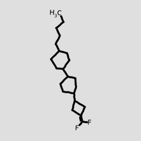 CCCCCC1CCC(C2CCC(C3CC(=C(F)F)C3)CC2)CC1